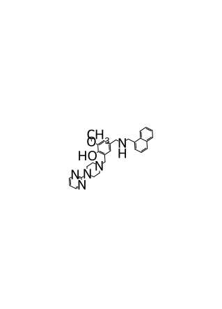 COc1cc(CNCc2cccc3ccccc23)cc(CN2CCN(c3ncccn3)CC2)c1O